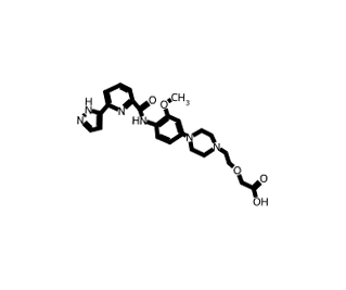 COc1cc(N2CCN(CCOCC(=O)O)CC2)ccc1NC(=O)c1cccc(-c2ccn[nH]2)n1